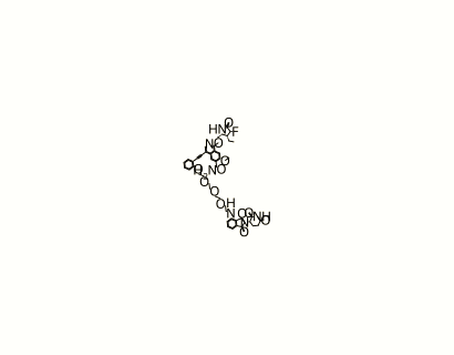 CC[C@@H]1[C@H](F)C(=O)N[C@@H]1COc1ncc(C#Cc2ccccc2OCCOCCOCCOCCNc2cccc3c2C(=O)N(C2CCC(=O)NC2=O)C3=O)c2cc(C(N)=O)c(OC)cc12